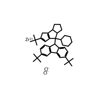 CC(C)(C)C1=CC2=C(C1)C1CCCC1C2(C1CCCCC1)C1c2ccc(C(C)(C)C)cc2-c2cc(C(C)(C)C)ccc21.[Cl-].[Cl-].[Zr+2]